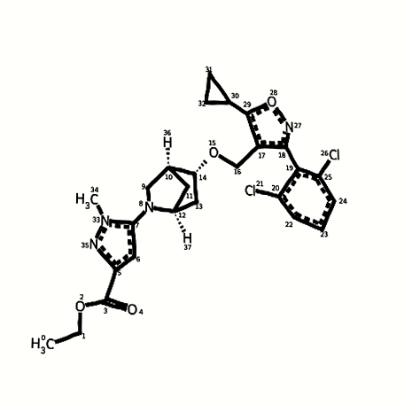 CCOC(=O)c1cc(N2C[C@@H]3C[C@H]2C[C@H]3OCc2c(-c3c(Cl)cccc3Cl)noc2C2CC2)n(C)n1